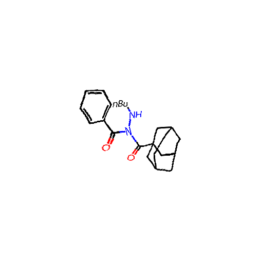 CCCCNN(C(=O)c1ccccc1)C(=O)C12CC3CC(CC(C3)C1)C2